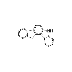 c1ccc2c(c1)Cc1c-2ccc2[nH]c3ccccc3c12